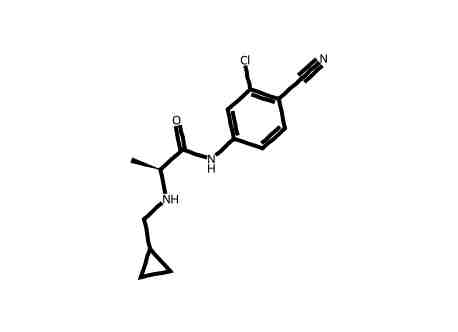 C[C@H](NCC1CC1)C(=O)Nc1ccc(C#N)c(Cl)c1